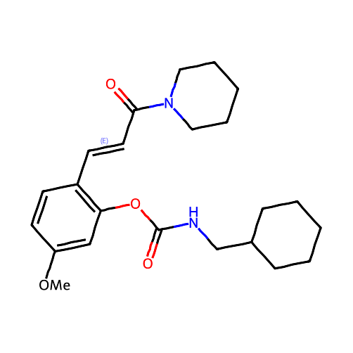 COc1ccc(/C=C/C(=O)N2CCCCC2)c(OC(=O)NCC2CCCCC2)c1